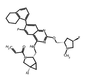 C=CC(=O)N1C[C@@H]2CC2[C@H]1CNc1nc(OC[C@@H]2C[C@@H](F)CN2C)nc2cc(-c3cccc4c3CCCC4)c(F)cc12